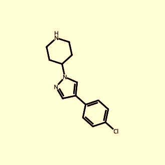 Clc1ccc(-c2cnn(C3CCNCC3)c2)cc1